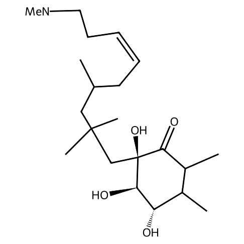 CNCC/C=C\CC(C)CC(C)(C)C[C@]1(O)C(=O)C(C)C(C)[C@H](O)[C@H]1O